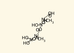 Cn1c(CCCC(=O)O)nc2cc(N(CCO)CCOC(=O)CCCc3nc4cc(N(CCO)CCO)ccc4n3C)ccc21